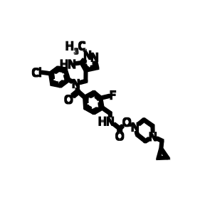 Cn1ncc2c1Nc1cc(Cl)ccc1N(C(=O)c1ccc(CNC(=O)ON3CCN(CC4CC4)CC3)c(F)c1)C2